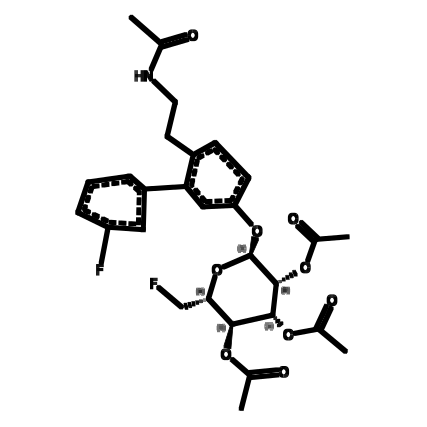 CC(=O)NCCc1ccc(O[C@@H]2O[C@@H](CF)[C@H](OC(C)=O)[C@@H](OC(C)=O)[C@H]2OC(C)=O)cc1-c1cccc(F)c1